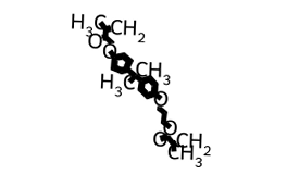 C=C(C)C(=O)COc1ccc(C(C)(C)c2ccc(OCCCOC(=O)C(=C)C)cc2)cc1